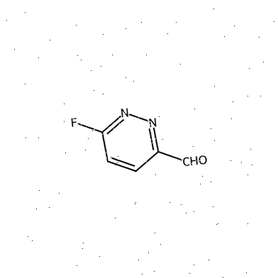 O=Cc1ccc(F)nn1